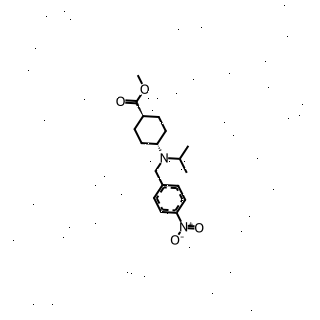 COC(=O)[C@H]1CC[C@H](N(Cc2ccc([N+](=O)[O-])cc2)C(C)C)CC1